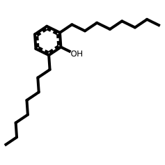 CCCCCCCCc1cccc(CCCCCCCC)c1O